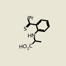 CC(C)C(=S)c1ccccc1NC(C)C(=O)O